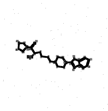 N[C@@H](CCCCN1CCN(c2nc3ccccc3s2)CC1)C(=O)N1CCSC1